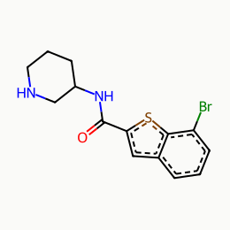 O=C(NC1CCCNC1)c1cc2cccc(Br)c2s1